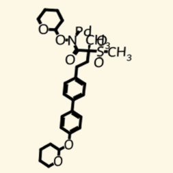 C[C@@](CCc1ccc(-c2ccc(OC3CCCCO3)cc2)cc1)(C(=O)[N]([Pd])OC1CCCCO1)S(C)(=O)=O